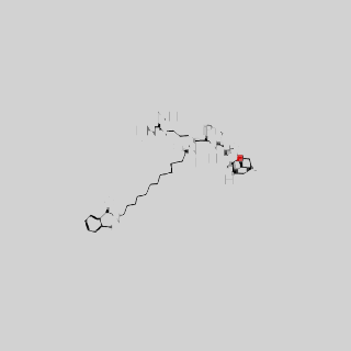 CC(C)C[C@H](NC(=O)[C@H](CCCNC(=N)N)NC(=O)CCCCCCCCCCCN1C(=O)c2ccccc2C1=O)B1O[C@@H]2C[C@@H]3C[C@@H](C3(C)C)[C@]2(C)O1